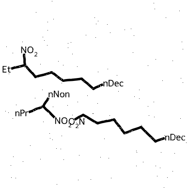 CCCCCCCCCC(CCC)[N+](=O)[O-].CCCCCCCCCCCCCCCC(CC)[N+](=O)[O-].CCCCCCCCCCCCCCCC[N+](=O)[O-]